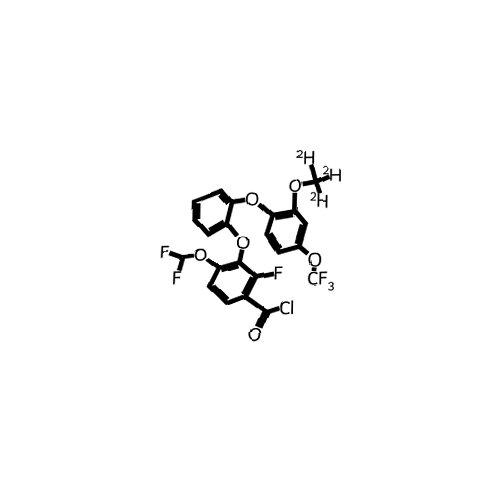 [2H]C([2H])([2H])Oc1cc(OC(F)(F)F)ccc1Oc1ccccc1Oc1c(OC(F)F)ccc(C(=O)Cl)c1F